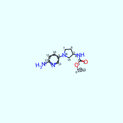 CC(C)(C)OC(=O)NC1CCN(c2ccc(N)nc2)C1